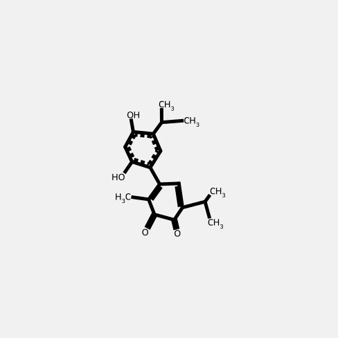 CC1=C(c2cc(C(C)C)c(O)cc2O)C=C(C(C)C)C(=O)C1=O